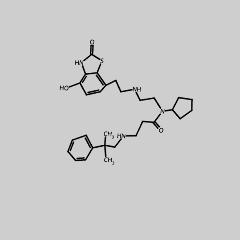 CC(C)(CNCCC(=O)N(CCNCCc1ccc(O)c2[nH]c(=O)sc12)C1CCCC1)c1ccccc1